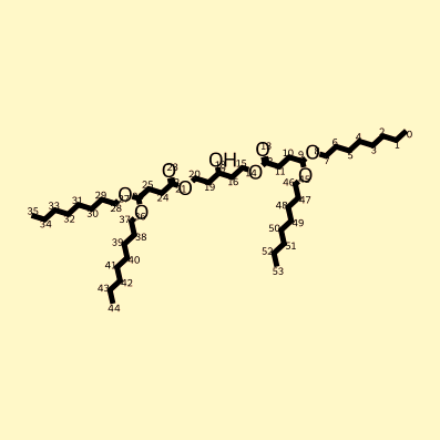 CCCCCCCCOC(CCC(=O)OCCC(O)CCOC(=O)CCC(OCCCCCCCC)OCCCCCCCC)OCCCCCCCC